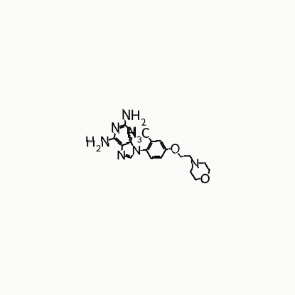 Cc1cc(OCCN2CCOCC2)ccc1-n1cnc2c(N)nc(N)nc21